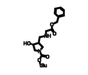 CC(C)(C)OC(=O)N1CC(CNCC(=O)OCc2ccccc2)[C@H](O)C1